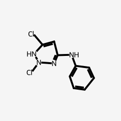 ClC1=CC(Nc2ccccc2)=NN(Cl)N1